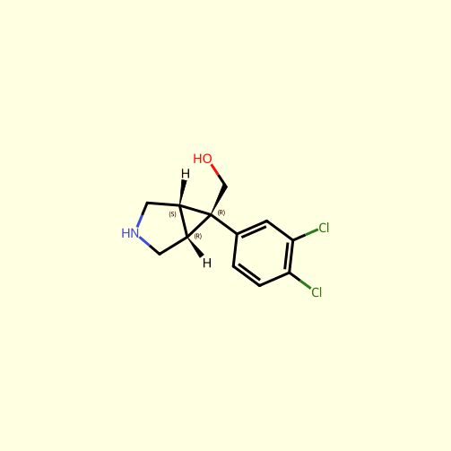 OC[C@@]1(c2ccc(Cl)c(Cl)c2)[C@@H]2CNC[C@@H]21